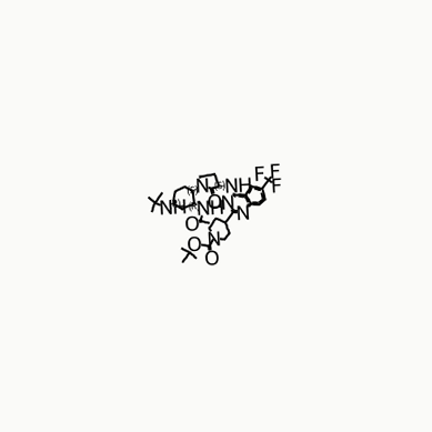 CC(=O)N[C@@H]1C[C@H](NC(C)(C)C)CC[C@@H]1N1CC[C@H](Nc2nc(C3CCN(C(=O)OC(C)(C)C)CC3)nc3ccc(C(F)(F)F)cc23)C1=O